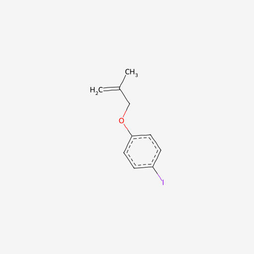 C=C(C)COc1ccc(I)cc1